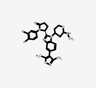 CNC1CC(n2c([C@@H]3CCC(=O)N3c3ccc(F)c(F)c3)nc3cc(-c4c(C)noc4C)ccc32)CCO1